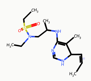 C/C=C\C1NC=NC(NC(C)CN(CC)S(=O)(=O)CC)=C1C